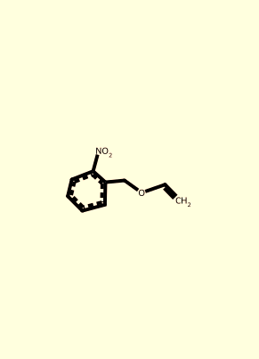 C=COCc1ccccc1[N+](=O)[O-]